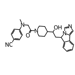 CN(CC(=O)N1CCC(C(O)CC2c3ccccc3-c3cncn32)CC1)c1ccc(C#N)cc1